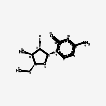 Nc1ccn([C@@H]2O[C@H](CO)[C@@H](O)[C@@H]2I)c(=O)n1